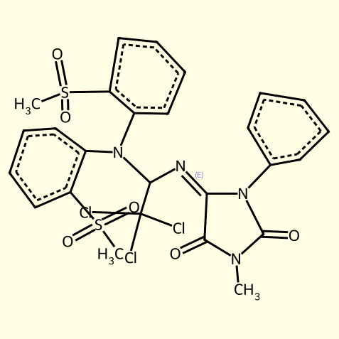 CN1C(=O)/C(=N\C(N(c2ccccc2S(C)(=O)=O)c2ccccc2S(C)(=O)=O)C(Cl)(Cl)Cl)N(c2ccccc2)C1=O